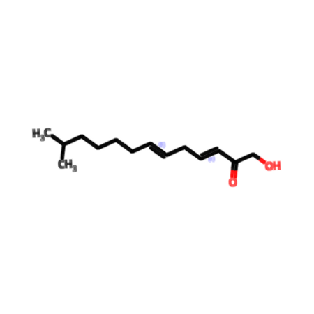 CC(C)CCCC/C=C/C/C=C/C(=O)CO